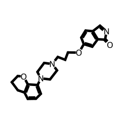 O=C1N=Cc2ccc(OCCCN3CCN(c4cccc5c4OCCC5)CC3)cc21